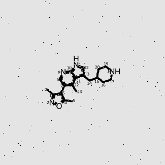 Cc1noc(C)c1-c1cnc2[nH]cc(CC3CCNCC3)c2c1C